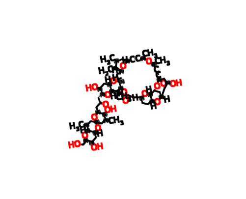 C=C1[C@H](C)C[C@@H]2CC[C@@H](C)O[C@H](C)CC[C@]34C[C@@H](O)C(O3)[C@H]3CC(O4)[C@H]4O[C@H](CC[C@@H]4O3)CC(=O)O[C@@H]3[C@@H](C)[C@@H]4O[C@H](CC(=O)C[C@@H]5O[C@@]6(C[C@H](C)[C@@H]5O)C[C@H](C)[C@@H]5O[C@H](CO)[C@H](O)C[C@@H]5O6)[C@H](O)C[C@@H]4O[C@H]3C[C@H]1O2